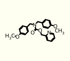 COc1ccc(CN(Cc2ccc(OC)cc2)C(=O)OCc2ccccn2)cc1